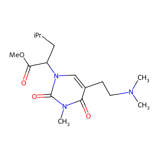 COC(=O)C(CC(C)C)n1cc(CCN(C)C)c(=O)n(C)c1=O